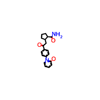 NC(=O)C1CCCC1CC(=O)c1ccc(-n2ccccc2=O)cc1